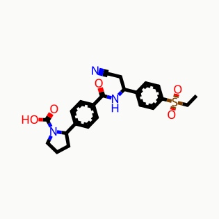 CCS(=O)(=O)c1ccc(C(CC#N)NC(=O)c2ccc(C3CCCN3C(=O)O)cc2)cc1